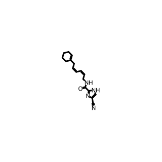 N#Cc1c[nH]c(C(=O)NC/C=C\C=C/CC2=CCCCC2)n1